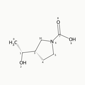 C[C@@H](O)[C@H]1CCN(C(=O)O)C1